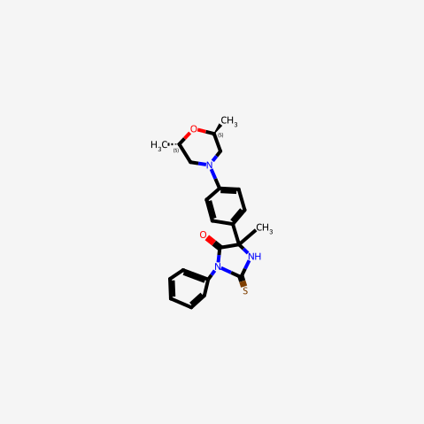 C[C@H]1CN(c2ccc(C3(C)NC(=S)N(c4ccccc4)C3=O)cc2)C[C@H](C)O1